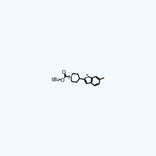 Cc1ccc2cc(C3CCN(C(=O)OC(C)(C)C)CC3)sc2c1